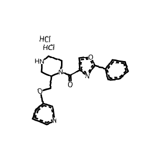 Cl.Cl.O=C(c1coc(-c2ccccc2)n1)N1CCNCC1COc1cccnc1